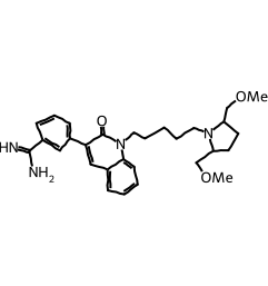 COCC1CCC(COC)N1CCCCCn1c(=O)c(-c2cccc(C(=N)N)c2)cc2ccccc21